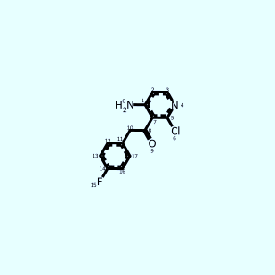 Nc1ccnc(Cl)c1C(=O)Cc1ccc(F)cc1